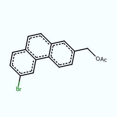 CC(=O)OCc1ccc2c(ccc3ccc(Br)cc32)c1